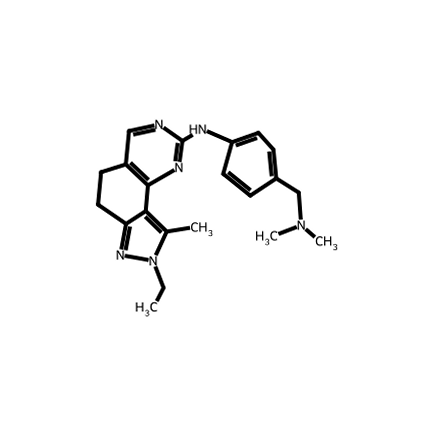 CCn1nc2c(c1C)-c1nc(Nc3ccc(CN(C)C)cc3)ncc1CC2